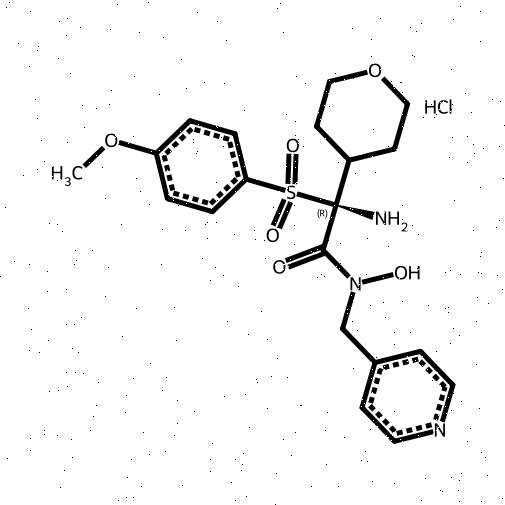 COc1ccc(S(=O)(=O)[C@@](N)(C(=O)N(O)Cc2ccncc2)C2CCOCC2)cc1.Cl